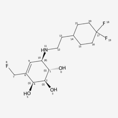 O[C@@H]1[C@@H](O)[C@@H](O)C(CF)=C[C@H]1NCCC1CCC(F)(F)CC1